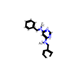 C/C=C\C(=C/C)CN(C(C)=O)c1cc(N(Cc2ccccc2)C(C)=O)ncn1